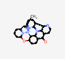 Cc1cc2n(n1)[N+]13c4c(ccc5c(=O)c6ccnc7c8ccc[n+]1c8n(c45)c67)Oc1cccc-2[n+]13